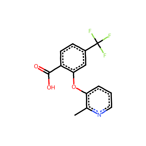 Cc1ncccc1Oc1cc(C(F)(F)F)ccc1C(=O)O